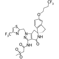 CS(=O)(=O)CC(=O)Nc1nn(Cc2nc(C(F)(F)F)cs2)c2c1C(=O)N[C@@]1(CCc3cc(OCCCC(F)(F)F)ccc31)C2